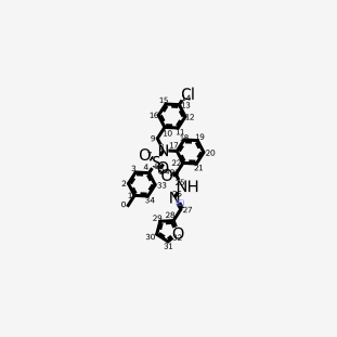 Cc1ccc(S(=O)(=O)N(Cc2ccc(Cl)cc2)c2ccccc2C(=O)N/N=C/c2ccco2)cc1